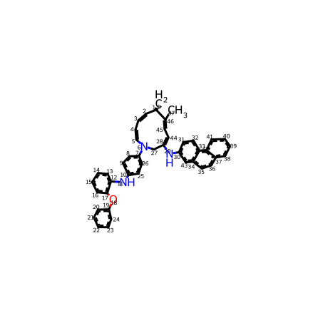 C=C1/C=C\C=C/N(c2ccc(Nc3ccccc3Oc3ccccc3)cc2)C/C(Nc2ccc3c(ccc4ccccc43)c2)=C\C=C\1C